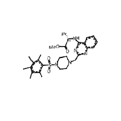 COC(=O)[C@@H](Nc1nc(CN2CCN(S(=O)(=O)c3c(C)c(C)c(C)c(C)c3C)CC2)nc2ccccc12)C(C)C